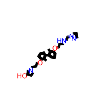 Cc1c(OCCCNCCn2cccn2)cccc1-c1cccc(OCCCN2CC[C@@H](O)C2)c1C